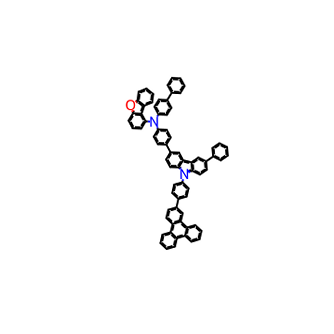 c1ccc(-c2ccc(N(c3ccc(-c4ccc5c(c4)c4cc(-c6ccccc6)ccc4n5-c4ccc(-c5ccc6c7ccccc7c7ccccc7c6c5)cc4)cc3)c3cccc4oc5ccccc5c34)cc2)cc1